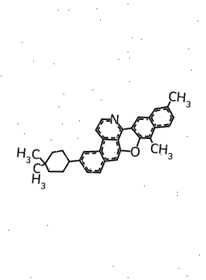 Cc1ccc2c(C)c3c(cc2c1)-c1nccc2c1c(cc1ccc(C4CCC(C)(C)CC4)cc12)O3